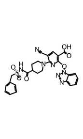 N#Cc1cc(C(=O)O)c(On2nnc3ccccc32)nc1N1CCC(C(=O)NS(=O)(=O)Cc2ccccc2)CC1